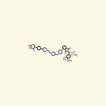 CCOc1cc([C@@H](CS(C)(=O)=O)N2C(=O)c3cccc(N4CCN(CC5CCN(CCN6CCC(c7ccc(C8CCC(=O)NC8=O)cc7)CC6)CC5)CC4)c3C2=O)ccc1OC